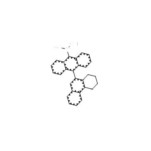 OB(O)c1c2ccccc2c(-c2cc3ccccc3c3c2CCCC3)c2ccccc12